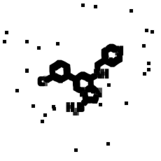 Bc1cnc2c(NCc3ccncc3)cc(-c3cccc(Cl)c3)cn12